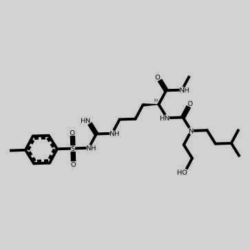 CNC(=O)[C@H](CCCNC(=N)NS(=O)(=O)c1ccc(C)cc1)NC(=O)N(CCO)CCC(C)C